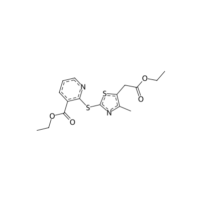 CCOC(=O)Cc1sc(Sc2ncccc2C(=O)OCC)nc1C